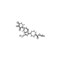 Cc1cn(C2CCCN(C(=O)OC(C)(C)C)CC2)c2ncc(N3CCC(=O)NC3=O)cc12